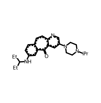 CCC(CC)Nc1ccc2ccc3ncc(N4CCN(C(C)C)CC4)cc3c(=O)c2c1